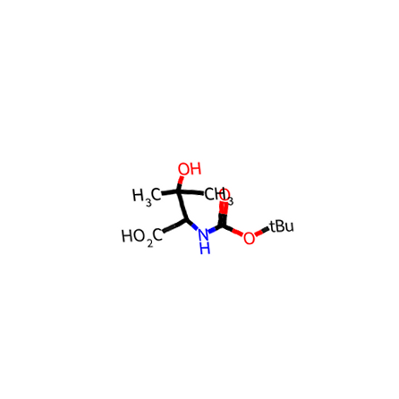 CC(C)(C)OC(=O)NC(C(=O)O)C(C)(C)O